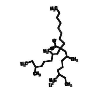 CCCCCCCCC(CC(C)CCCC(C)CC)(CC(C)CCCC(C)CC)C(=O)[O-].[Li+]